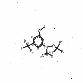 COc1cc(N(OC(F)(F)F)C(C)=O)cc(C(F)(F)F)c1